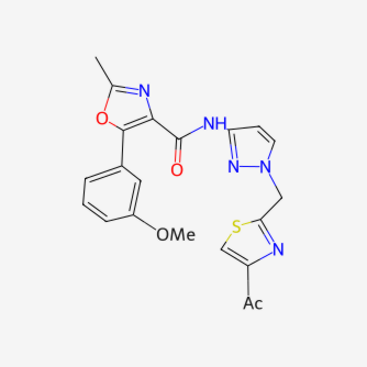 COc1cccc(-c2oc(C)nc2C(=O)Nc2ccn(Cc3nc(C(C)=O)cs3)n2)c1